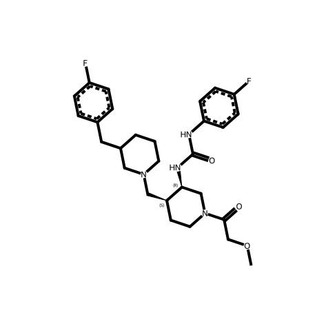 COCC(=O)N1CC[C@@H](CN2CCCC(Cc3ccc(F)cc3)C2)[C@@H](NC(=O)Nc2ccc(F)cc2)C1